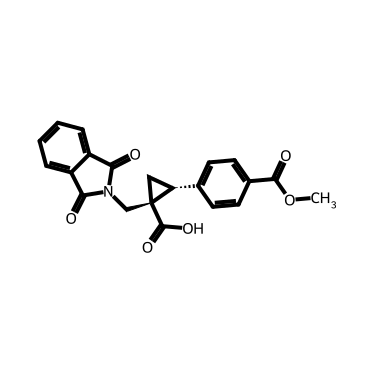 COC(=O)c1ccc([C@H]2C[C@@]2(CN2C(=O)c3ccccc3C2=O)C(=O)O)cc1